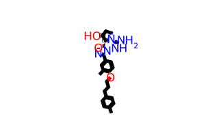 Cc1ccc(CCCOc2ccc(-c3noc([C@@H]4[C@@H](O)CCN4C(=N)N)n3)cc2C)cc1